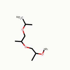 CCCOC(C)COC(C)COC(C)C(=O)O